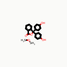 O=C1OC(c2ccc(O)cc2)(c2ccc(O)cc2)c2ccccc21.[SiH3]O[SiH3]